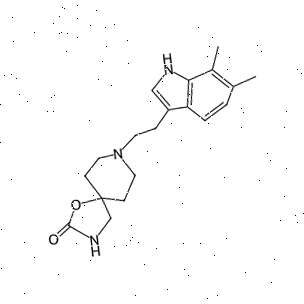 Cc1ccc2c(CCN3CCC4(CC3)CNC(=O)O4)c[nH]c2c1C